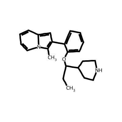 CCC(Oc1ccccc1-c1cc2ccccn2c1C)C1CCNCC1